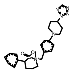 C[N+]1(Cc2ccc(N3CCC(n4ncnn4)CC3)cc2)CCCC(c2ccccc2)S1(=O)=O